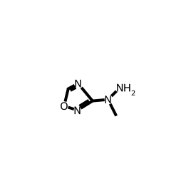 CN(N)c1ncon1